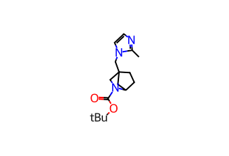 Cc1nccn1CC12CCC(C1)N(C(=O)OC(C)(C)C)C2